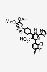 COCC(CN(C1CCC(C2=C(C(=O)O)C(c3ccc(F)c(F)c3Cl)N=C(c3nccs3)N2)CC1)S(C)(=O)=O)OC(C)=O